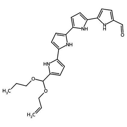 C=CCOC(OCCC)c1ccc(-c2ccc(-c3ccc(-c4ccc(C=O)[nH]4)[nH]3)[nH]2)[nH]1